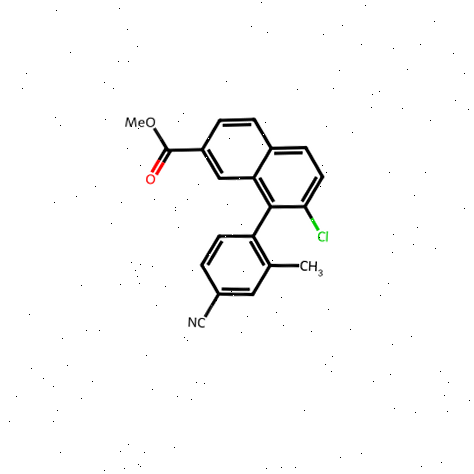 COC(=O)c1ccc2ccc(Cl)c(-c3ccc(C#N)cc3C)c2c1